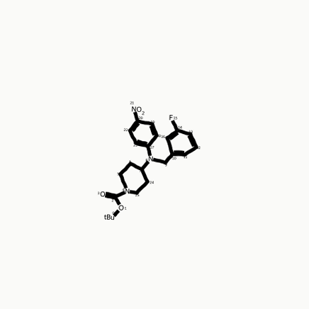 CC(C)(C)OC(=O)N1CCC(N(Cc2cccc(F)c2)c2ccc([N+](=O)[O-])cc2)CC1